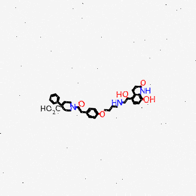 O=C(Cc1ccc(OCCCCNCC(O)c2ccc(O)c3[nH]c(=O)ccc23)cc1)N1CCC(C(=O)O)(c2ccccc2)CC1